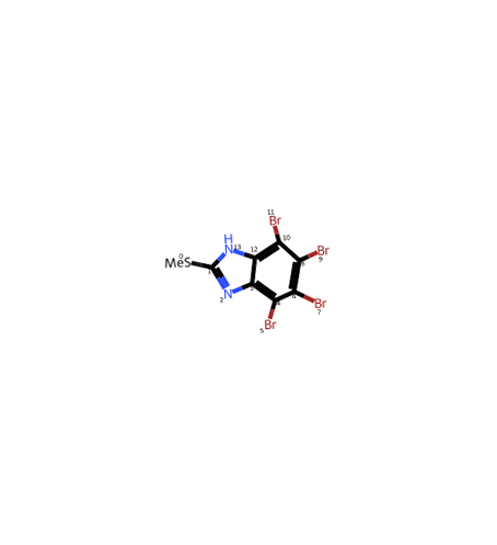 CSc1nc2c(Br)c(Br)c(Br)c(Br)c2[nH]1